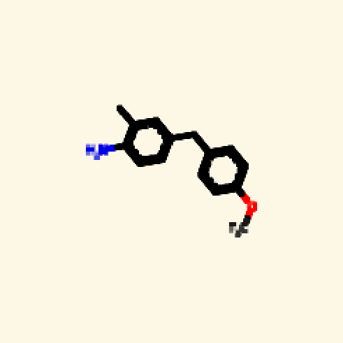 Cc1cc(Cc2ccc(OC(F)(F)F)cc2)ccc1N